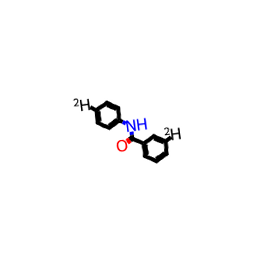 [2H]c1ccc(NC(=O)c2cccc([2H])c2)cc1